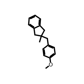 COc1ccc(CC2(C)Cc3ccccc3C2)cc1